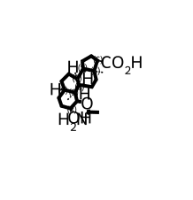 CC(N)OC1[C@H](O)CC[C@@H]2CC[C@H]3[C@@H]4CC[C@H](C(=O)O)[C@@]4(C)CC[C@@H]3[C@@]12C